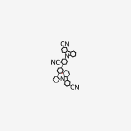 N#Cc1ccc2c(c1)c1c(n2C2=C(c3ccc(-c4ccc(-n5c6ccccc6c6cc(C#N)ccc65)cc4C#N)cc3)C=CCC2)CCC=C1